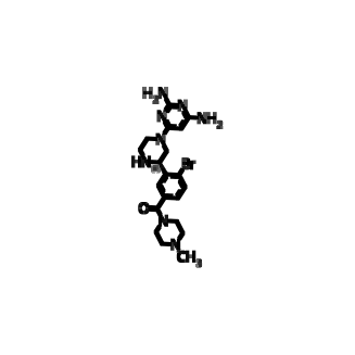 CN1CCN(C(=O)c2ccc(Br)c([C@@H]3CN(c4cc(N)nc(N)n4)CCN3)c2)CC1